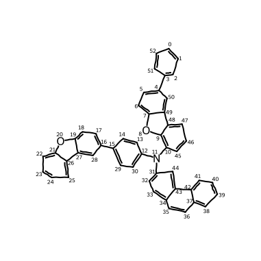 c1ccc(-c2ccc3oc4c(N(c5ccc(-c6ccc7oc8ccccc8c7c6)cc5)c5ccc6ccc7ccccc7c6c5)cccc4c3c2)cc1